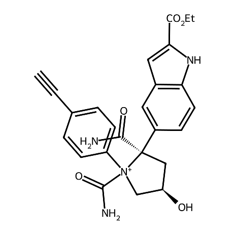 C#Cc1ccc([N+]2(C(N)=O)C[C@H](O)C[C@]2(C(N)=O)c2ccc3[nH]c(C(=O)OCC)cc3c2)cc1